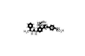 C[C@H](NC(=O)Nc1ccc(-c2cnc(C34CCC(NC(=O)O)(CC3)CC4)s2)c(S(=O)(=O)NC(C)(C)C)c1)c1ccccc1